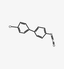 O=C=Nc1ccc(-c2ccc(Cl)cc2)cc1